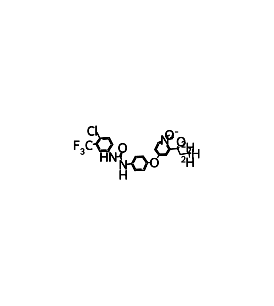 [2H]C([2H])([2H])CC(=O)c1cc(Oc2ccc(NC(=O)Nc3ccc(Cl)c(C(F)(F)F)c3)cc2)cc[n+]1[O-]